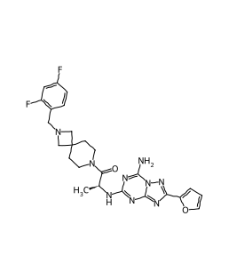 C[C@H](Nc1nc(N)n2nc(-c3ccco3)nc2n1)C(=O)N1CCC2(CC1)CN(Cc1ccc(F)cc1F)C2